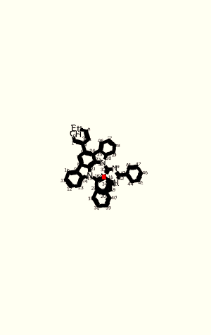 C/C=C(\C=C/CC)c1cc2c3ccccc3n(-c3ccccc3)c2c2c1c1ccccc1n2-c1nc(-c2ccccc2)nc(-c2ccccc2)n1